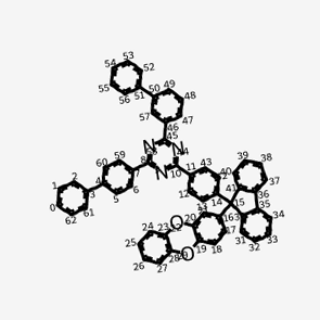 c1ccc(-c2ccc(-c3nc(-c4ccc(C5(c6ccc7c(c6)Oc6ccccc6O7)c6ccccc6-c6ccccc65)cc4)nc(-c4cccc(-c5ccccc5)c4)n3)cc2)cc1